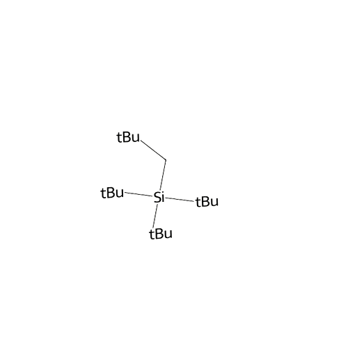 CC(C)(C)C[Si](C(C)(C)C)(C(C)(C)C)C(C)(C)C